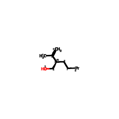 C=C(C)[C@H](CO)CCC(C)C